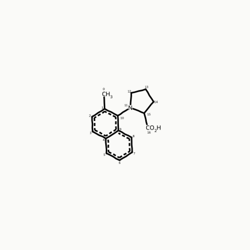 Cc1ccc2ccccc2c1N1CCCC1C(=O)O